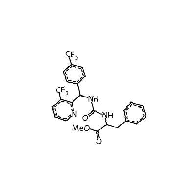 COC(=O)C(Cc1ccccc1)NC(=O)NC(c1ccc(C(F)(F)F)cc1)c1ncccc1C(F)(F)F